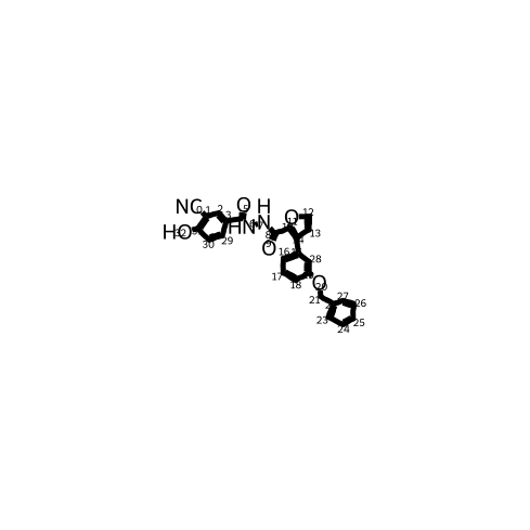 N#Cc1cc(C(=O)NNC(=O)c2occc2-c2cccc(OCc3ccccc3)c2)ccc1O